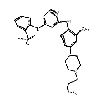 COc1cc(N2CCN(CCN)CC2)ccc1Nc1ncnc(Nc2ccccc2S(=O)(=O)C(C)C)n1